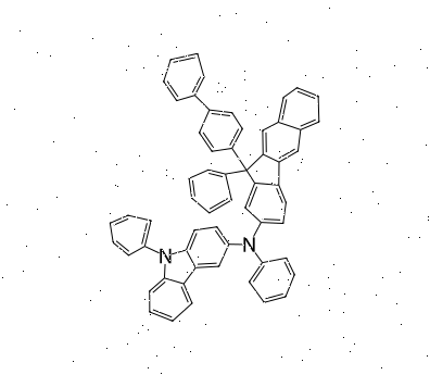 c1ccc(-c2ccc(C3(c4ccccc4)c4cc(N(c5ccccc5)c5ccc6c(c5)c5ccccc5n6-c5ccccc5)ccc4-c4cc5ccccc5cc43)cc2)cc1